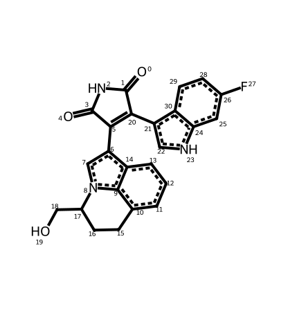 O=C1NC(=O)C(c2cn3c4c(cccc24)CCC3CO)=C1c1c[nH]c2cc(F)ccc12